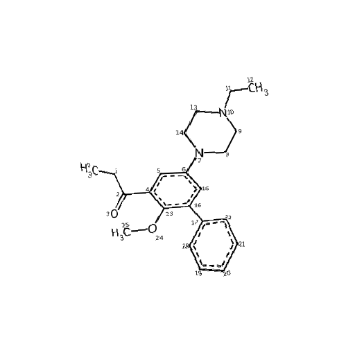 CCC(=O)c1cc(N2CCN(CC)CC2)cc(-c2ccccc2)c1OC